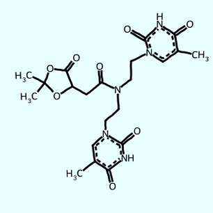 Cc1cn(CCN(CCn2cc(C)c(=O)[nH]c2=O)C(=O)CC2OC(C)(C)OC2=O)c(=O)[nH]c1=O